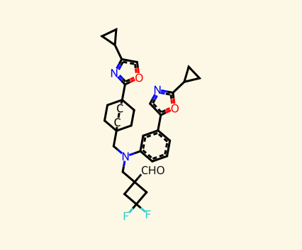 O=CC1(CN(CC23CCC(c4nc(C5CC5)co4)(CC2)CC3)c2cccc(-c3cnc(C4CC4)o3)c2)CC(F)(F)C1